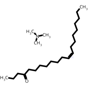 CCCCCCCC/C=C\CCCCCCCC(=O)CCC.CN(C)C